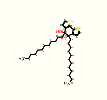 CCCCCCCCCCCCC1(O)c2ccsc2-c2sccc2C1(O)CCCCCCCCCCCC